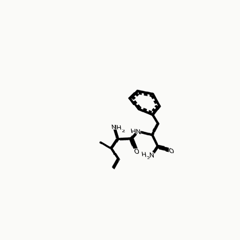 CCC(C)C(N)C(=O)NC(Cc1ccccc1)C(N)=O